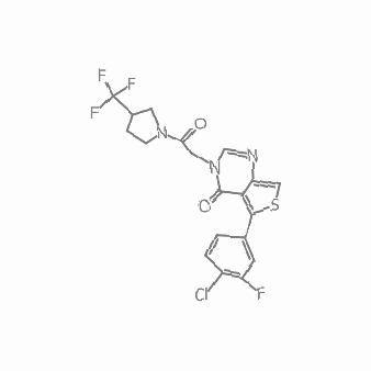 O=C(Cn1cnc2csc(-c3ccc(Cl)c(F)c3)c2c1=O)N1CCC(C(F)(F)F)C1